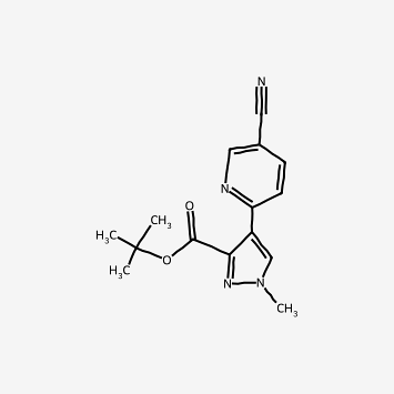 Cn1cc(-c2ccc(C#N)cn2)c(C(=O)OC(C)(C)C)n1